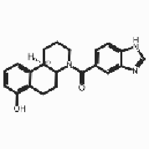 O=C(c1ccc2[nH]cnc2c1)N1CCC[C@@H]2c3cccc(O)c3CCC21